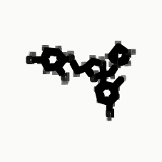 Cc1cc(Cl)ccc1C1(Cn2ccnc2)OCC(COc2ccc(Cl)cc2Cl)O1